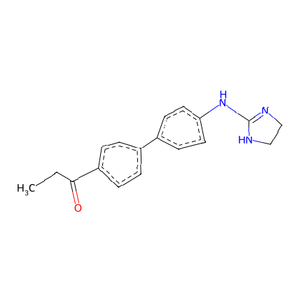 CCC(=O)c1ccc(-c2ccc(NC3=NCCN3)cc2)cc1